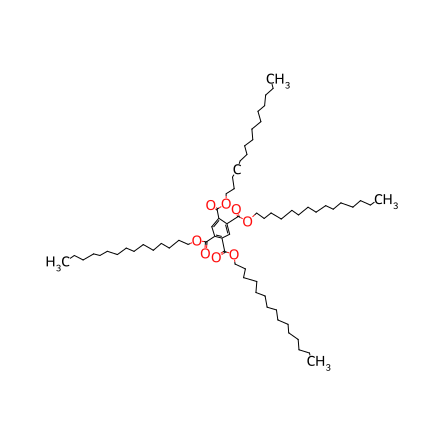 CCCCCCCCCCCCCCCOC(=O)c1cc(C(=O)OCCCCCCCCCCCCCCC)c(C(=O)OCCCCCCCCCCCCCCC)cc1C(=O)OCCCCCCCCCCCCCCC